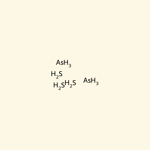 S.S.S.[AsH3].[AsH3]